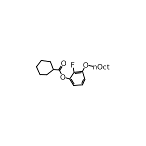 CCCCCCCCOc1cccc(OC(=O)C2CCCCC2)c1F